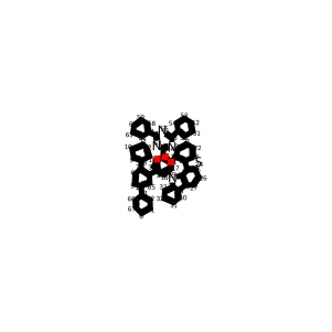 c1ccc(-c2ccc(-c3ccccc3)c(-c3ccc(-c4cccc5sc6ccc7c8ccccc8n(-c8ccccc8)c7c6c45)c(-c4nc(-c5ccccc5)nc(-c5ccccc5)n4)c3)c2)cc1